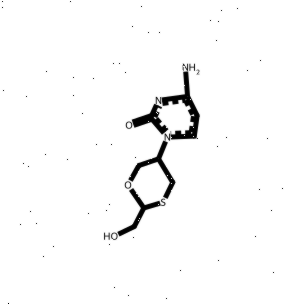 Nc1ccn(C2COC(CO)SC2)c(=O)n1